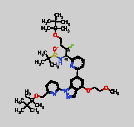 COCCOc1cc(-c2cccc([C@H](N[S+]([O-])C(C)(C)C)[C@H](F)CCO[Si](C)(C)C(C)(C)C)n2)cc2c1cnn2-c1cccc(CO[Si](C)(C)C(C)(C)C)n1